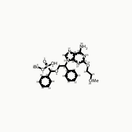 CCC(C)OP(=O)(O)C(OCC(c1ccccc1)n1cnc2c(N)nc(OCCOC)nc21)c1ccccc1